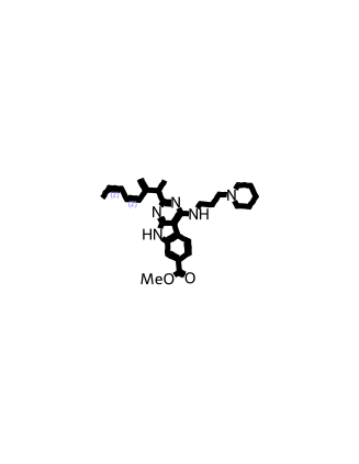 C=C(/C=C\C=C/C)C(C)c1nc(NCCCN2CCCCC2)c2c(n1)[nH]c1cc(C(=O)OC)ccc12